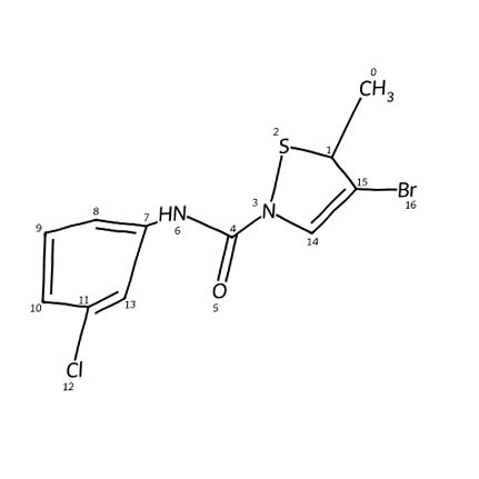 CC1SN(C(=O)Nc2cccc(Cl)c2)C=C1Br